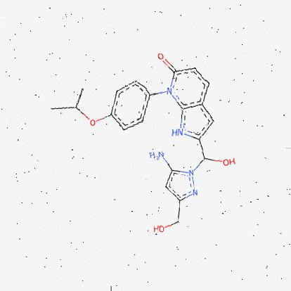 CC(C)Oc1ccc(-n2c(=O)ccc3cc(C(O)n4nc(CO)cc4N)[nH]c32)cc1